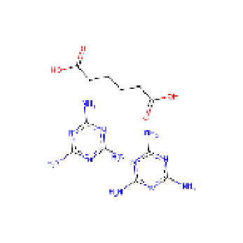 Nc1nc(N)nc(N)n1.Nc1nc(N)nc(N)n1.O=C(O)CCCCC(=O)O